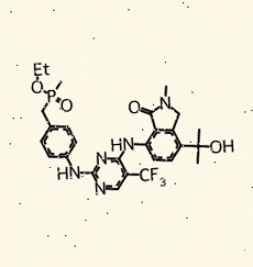 CCOP(C)(=O)Cc1ccc(Nc2ncc(C(F)(F)F)c(Nc3ccc(C(C)(C)O)c4c3C(=O)N(C)C4)n2)cc1